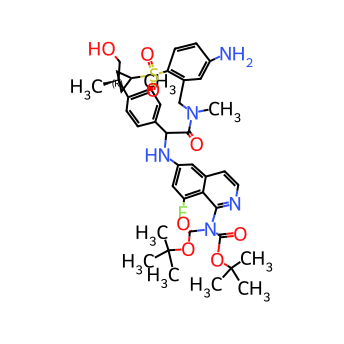 Cc1cc(C(Nc2cc(F)c3c(N(C(=O)OC(C)(C)C)C(=O)OC(C)(C)C)nccc3c2)C(=O)N(C)Cc2cc(N)ccc2S(=O)(=O)C2CC2)ccc1[C@@H](C)CO